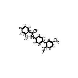 COc1ccc(OC)c(-c2ccc(NC(=O)c3ccccc3C)cc2)c1